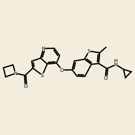 Cc1sc2cc(Oc3ccnc4cc(C(=O)N5CCC5)sc34)ccc2c1C(=O)NC1CC1